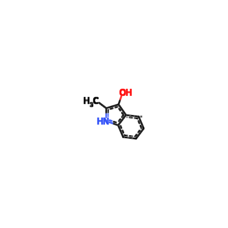 Cc1[nH]c2ccc[c]c2c1O